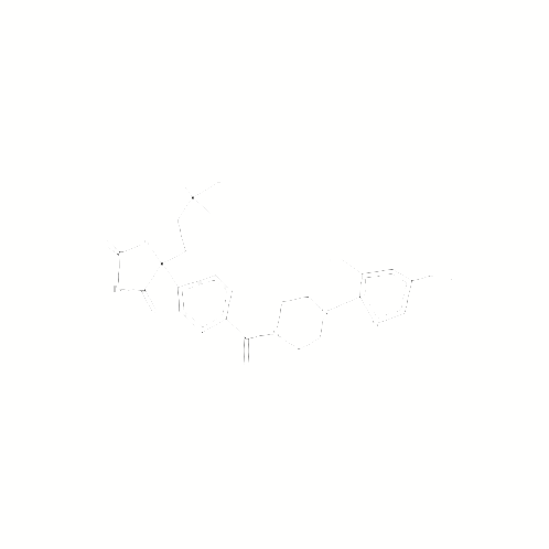 Cc1cnc(N2CCN(C(=O)c3ccc(C4(CCC(F)(F)F)NC(=O)NC4=O)cc3)CC2)c(C)c1